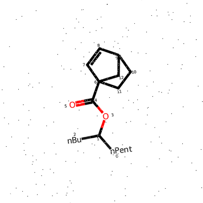 CCCCCC(CCCC)OC(=O)C12C=CC(CC1)C2